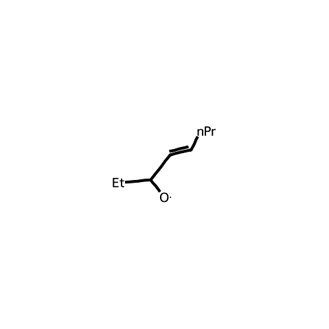 CCCC=CC([O])CC